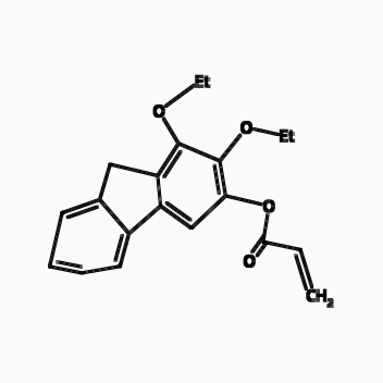 C=CC(=O)Oc1cc2c(c(OCC)c1OCC)Cc1ccccc1-2